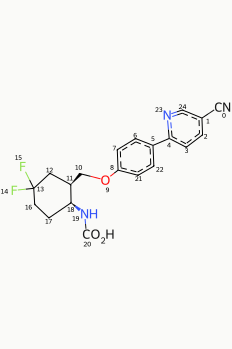 N#Cc1ccc(-c2ccc(OC[C@@H]3CC(F)(F)CC[C@@H]3NC(=O)O)cc2)nc1